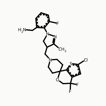 CC1=NN(c2c(F)cccc2CN)CC1CN1CCC2(CC1)OCC(F)(F)c1cc(Cl)sc12